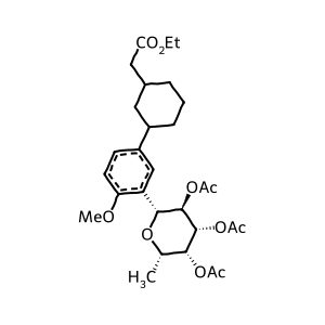 CCOC(=O)CC1CCCC(c2ccc(OC)c([C@H]3O[C@@H](C)[C@@H](OC(C)=O)[C@@H](OC(C)=O)[C@@H]3OC(C)=O)c2)C1